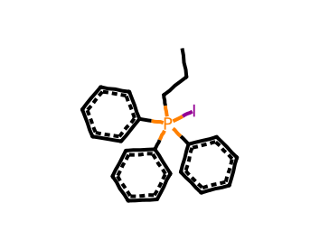 CCCP(I)(c1ccccc1)(c1ccccc1)c1ccccc1